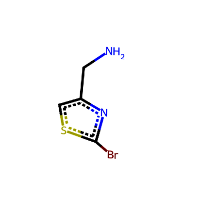 NCc1csc(Br)n1